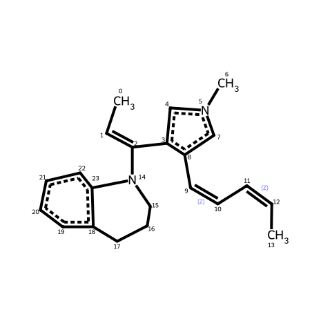 CC=C(c1cn(C)cc1/C=C\C=C/C)N1CCCc2ccccc21